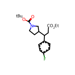 CCOC(=O)CC(c1ccc(F)cc1)C1CCN(C(=O)OC(C)(C)C)C1